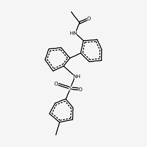 CC(=O)Nc1ccccc1-c1ccccc1NS(=O)(=O)c1ccc(C)cc1